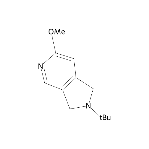 COc1cc2c(cn1)CN(C(C)(C)C)C2